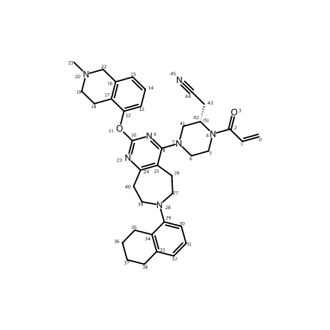 C=CC(=O)N1CCN(c2nc(Oc3cccc4c3CCN(C)C4)nc3c2CCN(c2cccc4c2CCCC4)CC3)C[C@@H]1CC#N